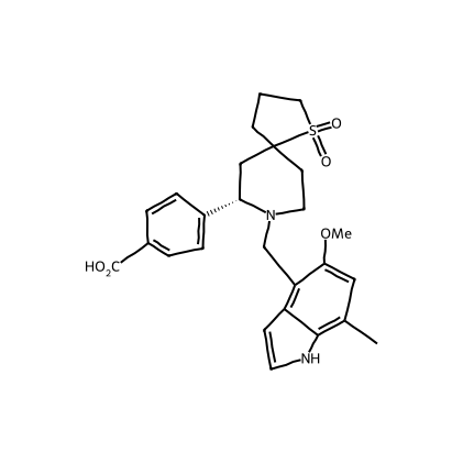 COc1cc(C)c2[nH]ccc2c1CN1CCC2(CCCS2(=O)=O)C[C@H]1c1ccc(C(=O)O)cc1